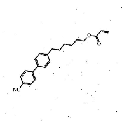 C=CC(=O)OCCCCCCc1ccc(-c2ccc(C#N)cc2)cc1